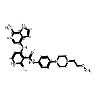 COCCN1CCN(c2ccc(NC(=O)c3c(Nc4cnc(C)c5[nH]ccc45)cc[nH]c3=O)cc2)CC1